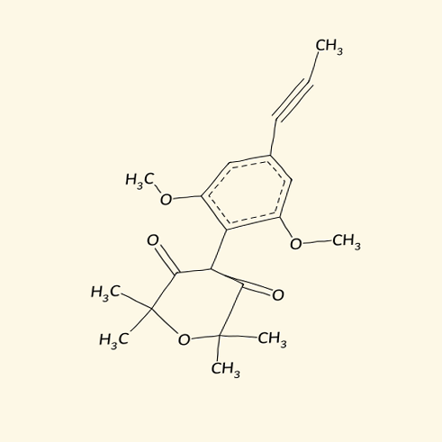 CC#Cc1cc(OC)c(C2C(=O)C(C)(C)OC(C)(C)C2=O)c(OC)c1